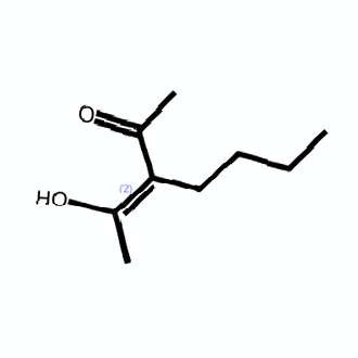 CCCC/C(C(C)=O)=C(\C)O